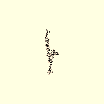 C#CC(=O)OCCCOc1ccc(CCOC(=O)C2CCC(C(=O)OCCc3ccc(OCc4ccc(OCCCCCCOC(=O)C(=C)C)cc4)c(/C=N/NC4c5ccccc5-c5ccccc54)c3)CC2)cc1